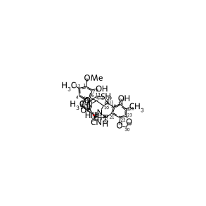 COc1c(C)cc2c(c1O)C1C3[C@@H]4SCC(=O)C(=O)NC[C@@H](c5c6c(c(C)c(O)c54)OCO6)N3[C@@H](C#N)C(C2)N1C